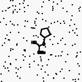 COC(O)OC1CCCC1